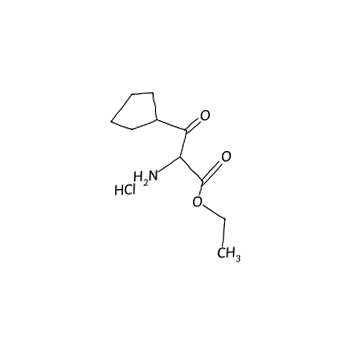 CCOC(=O)C(N)C(=O)C1CCCC1.Cl